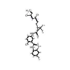 C=C/C(Cl)=C\C(Cl)=C/CC1C(C(=O)Nc2ccc(Cl)c(C(=O)Nc3ccc(F)cc3F)c2)C1(F)F